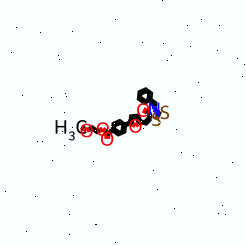 COCCOC(=O)c1ccc(-c2ccc(/C=C3/SC(=S)N(Cc4ccccc4)C3=O)o2)cc1